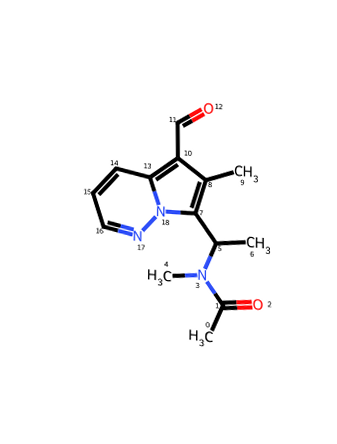 CC(=O)N(C)C(C)c1c(C)c(C=O)c2cccnn12